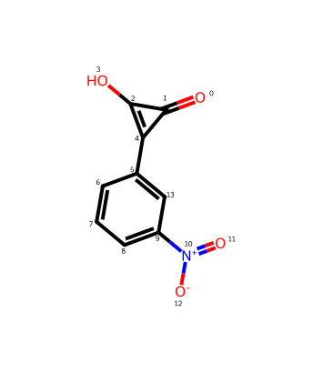 O=c1c(O)c1-c1cccc([N+](=O)[O-])c1